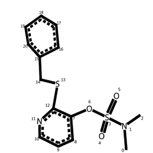 CN(C)S(=O)(=O)Oc1cccnc1SCc1ccccc1